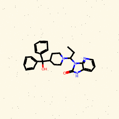 CCC(N1CCC(C(O)(c2ccccc2)c2ccccc2)CC1)n1c(=O)[nH]c2cccnc21